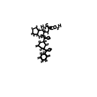 CN(C[C@H](CC1CCCCC1)NC(=O)C1CCCC(C(=O)c2ccccc2)C1)C(=O)O